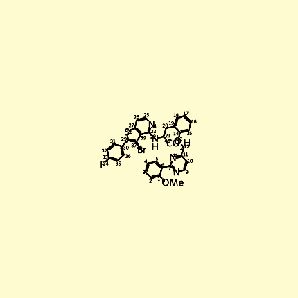 COc1ccccc1-c1nccc(COc2ccccc2CC(Nc2nccc3sc(-c4ccc(F)cc4)c(Br)c23)C(=O)O)n1